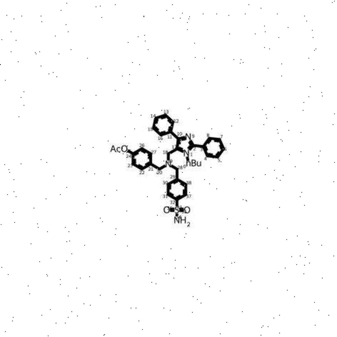 CCCCn1c(-c2ccccc2)nc(-c2ccccc2)c1CN(Cc1ccc(OC(C)=O)cc1)Cc1ccc(S(N)(=O)=O)cc1